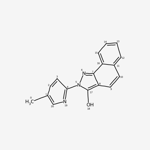 Cc1ccc(-n2nc3c(ccc4ccccc43)c2O)nc1